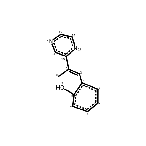 CC(=Cc1ccccc1O)c1cnccn1